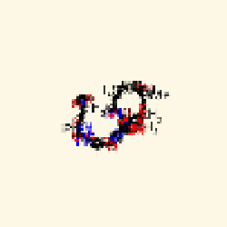 CO[C@H]1/C=C/O[C@@]2(C)Oc3c(C)c(O)c4c(=O)c(c5oc6cc(N7CCN(C(=O)OCc8ccc(NC(=O)CNC(=O)C(NC(=O)CCCCCN9C(=O)C=CC9=O)C(C)C)cc8)CC7)cc(O)c6nc-5c4c3C2=O)NC(=O)/C(C)=C\C=C\[C@H](C)C[C@@H](C)C[C@@H](C)[C@H](O)[C@@H]1C